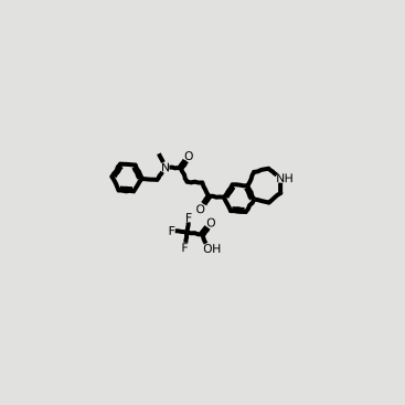 CN(Cc1ccccc1)C(=O)CCC(=O)c1ccc2c(c1)CCNCC2.O=C(O)C(F)(F)F